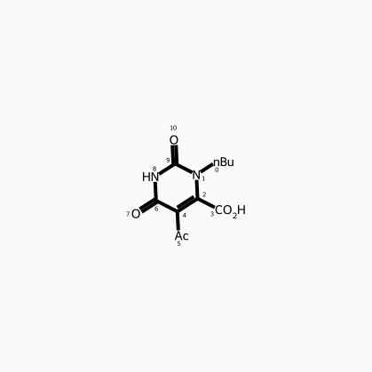 CCCCn1c(C(=O)O)c(C(C)=O)c(=O)[nH]c1=O